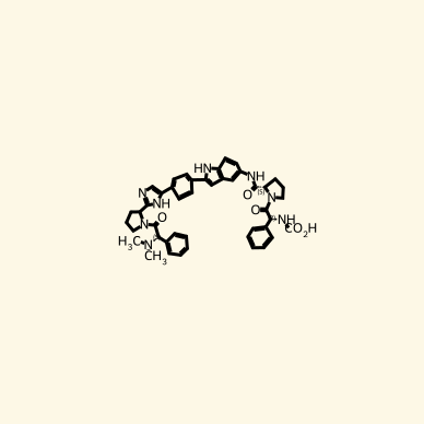 CN(C)[C@H](C(=O)N1CCCC1c1ncc(-c2ccc(-c3cc4cc(NC(=O)[C@@H]5CCCN5C(=O)[C@H](NC(=O)O)c5ccccc5)ccc4[nH]3)cc2)[nH]1)c1ccccc1